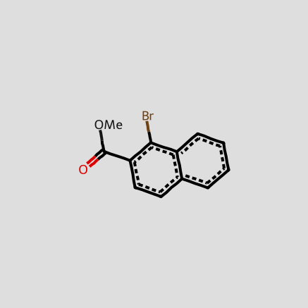 COC(=O)c1ccc2ccccc2c1Br